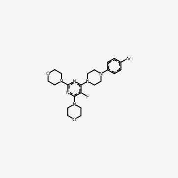 CC(=O)c1ccc(N2CCN(c3nc(N4CCOCC4)nc(N4CCOCC4)c3F)CC2)cc1